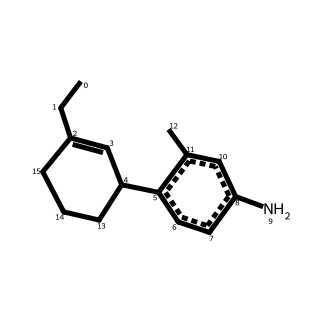 CCC1=CC(c2ccc(N)cc2C)CCC1